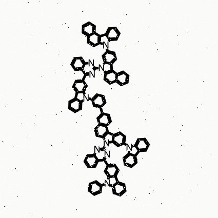 c1ccc(-n2c3ccccc3c3ccc(-c4nc(-n5c6cc(-n7c8ccccc8c8ccccc87)ccc6c6c7ccc(-c8cccc(-n9c%10ccccc%10c%10ccc(-c%11nc(-n%12c%13cc(-n%14c%15ccccc%15c%15c%16ccccc%16ccc%15%14)ccc%13c%13c%14ccccc%14ccc%13%12)nc%12ccccc%11%12)cc%109)c8)cc7ccc65)nc5ccccc45)cc32)cc1